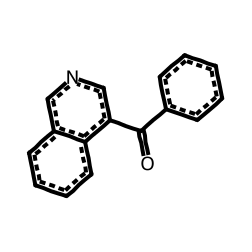 O=C(c1ccccc1)c1cncc2ccccc12